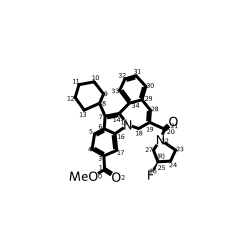 COC(=O)c1ccc2c(C3CCCCC3)c3n(c2c1)CC(C(=O)N1CC[C@@H](F)C1)=Cc1ccccc1-3